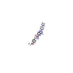 Cc1nc(N2CCC(N3CCCC3)CC2)nc2ccc(NC(=O)CCc3ccc(OC(F)(F)F)cc3)nc12